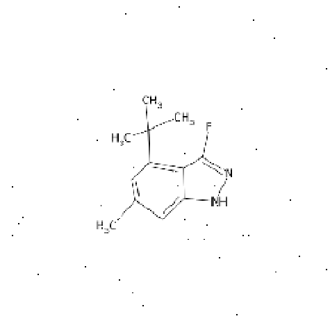 Cc1cc(C(C)(C)C)c2c(F)n[nH]c2c1